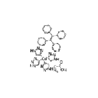 CC(=O)O.c1[nH]nn[c]1[Cd]([c]1c[nH]nn1)([c]1c[nH]nn1)[c]1c[nH]nn1.c1ccc(C(=C(c2ccccc2)c2ccccc2)c2ccccc2)cc1